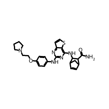 NC(=O)C1C2C=CC(C2)C1Nc1nc(Nc2ccc(OCCN3CCCC3)cc2)nc2ccsc12